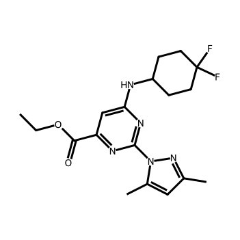 CCOC(=O)c1cc(NC2CCC(F)(F)CC2)nc(-n2nc(C)cc2C)n1